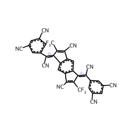 N#CC1=C(C(F)(F)F)/C(=C(/C#N)c2cc(C#N)cc(C#N)c2)c2cc3c(cc21)/C(=C(\C#N)c1cc(C#N)cc(C#N)c1)C(C(F)(F)F)=C3C#N